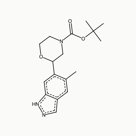 Cc1cc2cn[nH]c2cc1C1CN(C(=O)OC(C)(C)C)CCO1